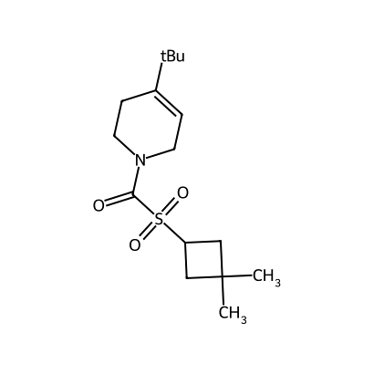 CC1(C)CC(S(=O)(=O)C(=O)N2CC=C(C(C)(C)C)CC2)C1